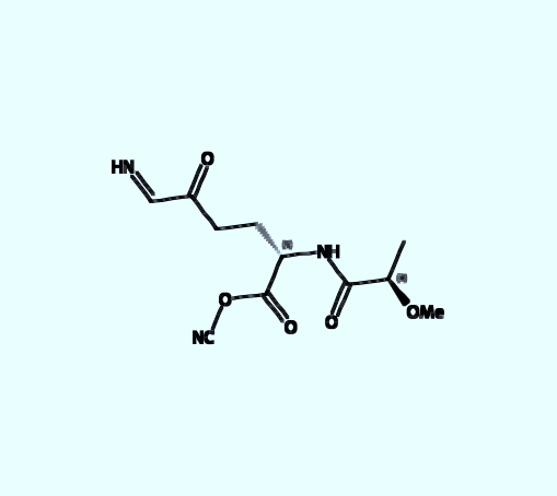 CO[C@H](C)C(=O)N[C@@H](CCC(=O)C=N)C(=O)OC#N